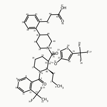 CCC[C@H]1N(C(=O)c2cnccc2C(C)(F)F)CCC[C@@]1(Oc1csc(C(F)(F)F)c1)C(=O)N1CCC(c2ccccc2CCC(=O)O)CC1